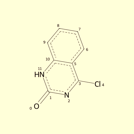 O=c1nc(Cl)c2ccccc2[nH]1